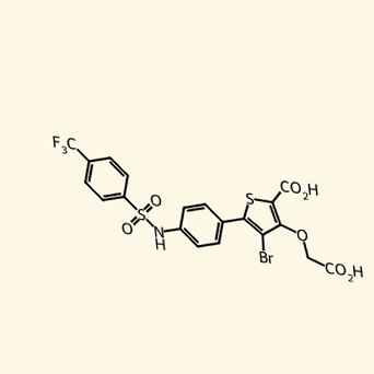 O=C(O)COc1c(C(=O)O)sc(-c2ccc(NS(=O)(=O)c3ccc(C(F)(F)F)cc3)cc2)c1Br